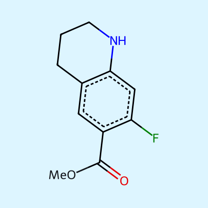 COC(=O)c1cc2c(cc1F)NCCC2